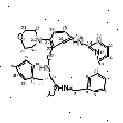 O=C1NCc2cccc(c2)-c2ccnc(n2)Nc2ccc(N3CCOCC3)c(c2)CN[C@H]1Cc1ccccc1